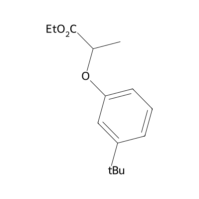 CCOC(=O)C(C)Oc1cccc(C(C)(C)C)c1